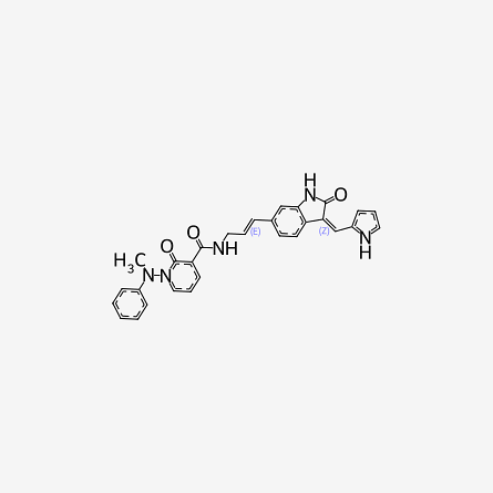 CN(c1ccccc1)n1cccc(C(=O)NC/C=C/c2ccc3c(c2)NC(=O)/C3=C\c2ccc[nH]2)c1=O